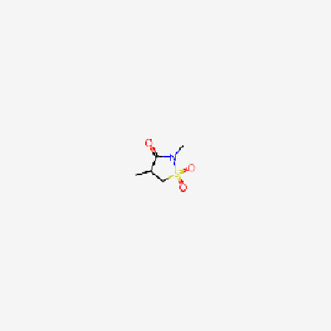 CC1CS(=O)(=O)N(C)C1=O